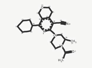 CC(=O)N1CCN(c2nc(C3CCCCC3)c3c(c2C#N)CCOC3)CC1C